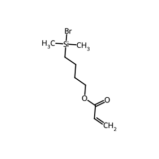 C=CC(=O)OCCCC[Si](C)(C)Br